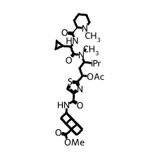 COC(=O)C12C3C4C1C1C2C3C41NC(=O)c1csc(C(CC(C(C)C)N(C)C(=O)C(NC(=O)[C@H]2CCCCN2C)C2CC2)OC(C)=O)n1